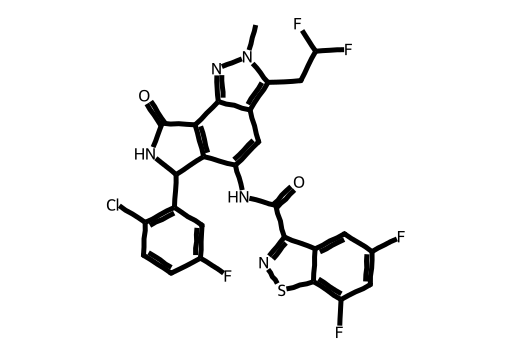 Cn1nc2c3c(c(NC(=O)c4nsc5c(F)cc(F)cc45)cc2c1CC(F)F)C(c1cc(F)ccc1Cl)NC3=O